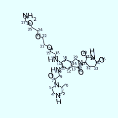 CC1CNCCN1C(=O)CNc1cc2c(cc1NCCOCCOCCOCN)CN(C1CCC(=O)NC1=O)C2=O